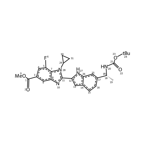 COC(=O)c1cc(F)c2c(c1)nc(-c1cc3ccc([C@@H](C)NC(=O)OC(C)(C)C)cc3[nH]1)n2C1CC1